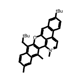 Cc1ccc2c(CC(C)(C)C)c3c(c(C)c2c1)-c1c2c(cc4cc(C(C)(C)C)ccc4c2cc[n+]1C)O3